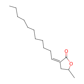 CCCCCCCCCC/C=C1/CC(C)OC1=O